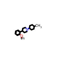 CC1CCC(N2CCC(c3ccccc3OC(C)C)CC2)CC1